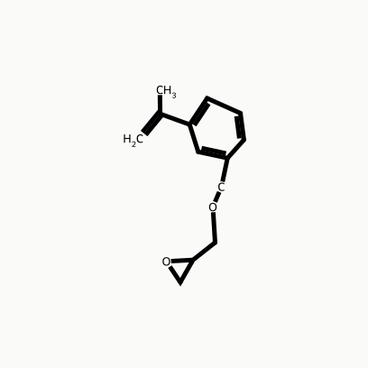 C=C(C)c1cccc(COCC2CO2)c1